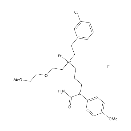 CC[N+](CCCN(C(N)=O)c1ccc(OC)cc1)(CCOCCOC)CCc1cccc(Cl)c1.[I-]